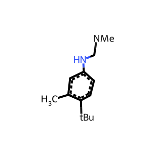 CNCNc1ccc(C(C)(C)C)c(C)c1